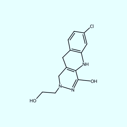 OCCN1CC2=C(Nc3cc(Cl)ccc3C2)C(O)=N1